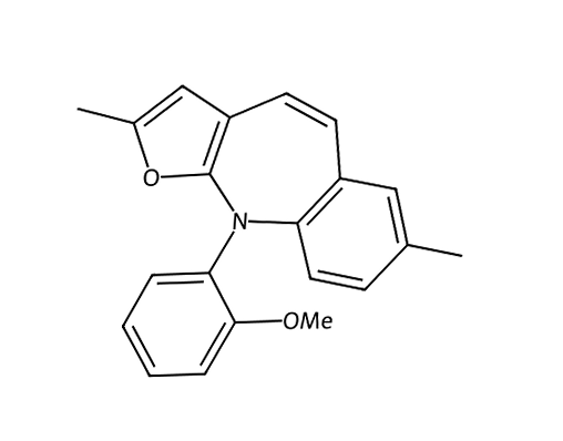 COc1ccccc1N1c2ccc(C)cc2C=Cc2cc(C)oc21